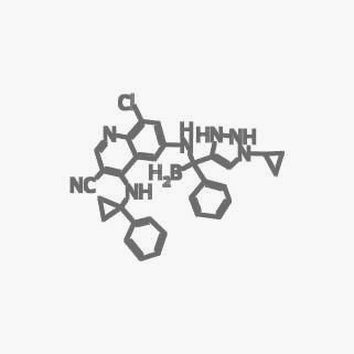 BC(Nc1cc(Cl)c2ncc(C#N)c(NC3(c4ccccc4)CC3)c2c1)(C1=CN(C2CC2)NN1)c1ccccc1